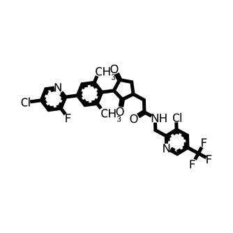 Cc1cc(-c2ncc(Cl)cc2F)cc(C)c1C1C(=O)CC(CC(=O)NCc2ncc(C(F)(F)F)cc2Cl)C1=O